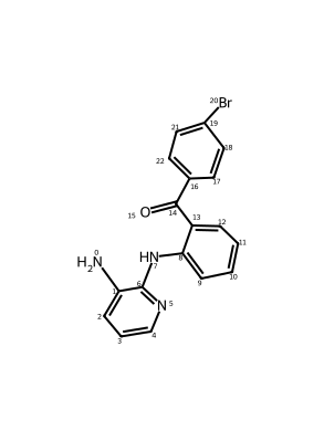 Nc1cccnc1Nc1ccccc1C(=O)c1ccc(Br)cc1